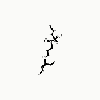 CC/C=C(\CC)OCCCN(Cl)C(C)(O)CCC